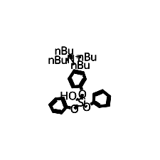 CCCC[N+](CCCC)(CCCC)CCCC.O[Si](Oc1ccccc1)(Oc1ccccc1)Oc1ccccc1